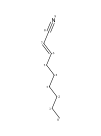 CCCCCCC=CC#N